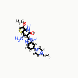 COc1csc2c(N)c(-c3nc4ccc(N5CCN(C)CC5)cc4[nH]3)c(=O)[nH]c12